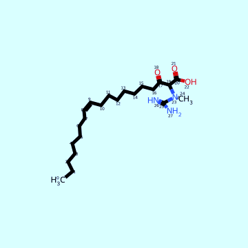 CCCCCCCC/C=C\CCCCCCCC(=O)C(C(=O)O)N(C)C(=N)N